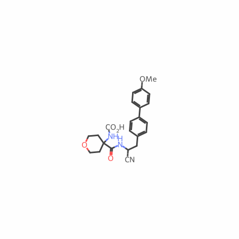 COc1ccc(-c2ccc(CC(C#N)NC(=O)C3(NC(=O)O)CCOCC3)cc2)cc1